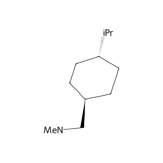 CNC[C@H]1CC[C@H](C(C)C)CC1